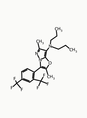 CCCN(CCC)c1c(C)nn2c(-c3ccc(C(F)(F)F)cc3C(F)(F)F)c(C)oc12